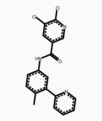 Cc1ccc(NC(=O)c2cnc(Cl)c(Cl)c2)cc1-c1ccccn1